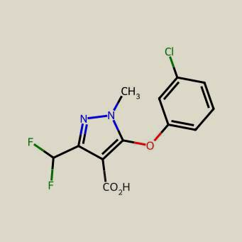 Cn1nc(C(F)F)c(C(=O)O)c1Oc1cccc(Cl)c1